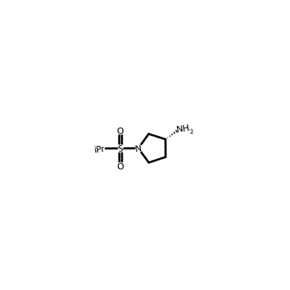 CC(C)S(=O)(=O)N1CC[C@@H](N)C1